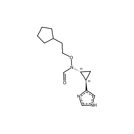 O=CN(OCCC1CCCC1)[C@@H]1C[C@H]1c1c[nH]cn1